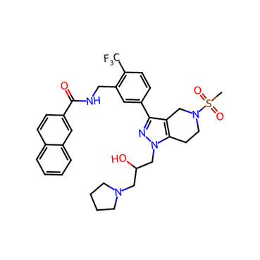 CS(=O)(=O)N1CCc2c(c(-c3ccc(C(F)(F)F)c(CNC(=O)c4ccc5ccccc5c4)c3)nn2CC(O)CN2CCCC2)C1